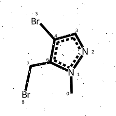 Cn1ncc(Br)c1CBr